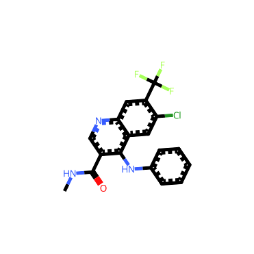 CNC(=O)c1cnc2cc(C(F)(F)F)c(Cl)cc2c1Nc1ccccc1